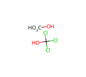 O=C(O)O.OC(Cl)(Cl)Cl